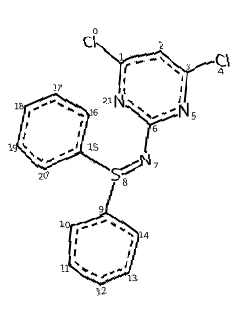 Clc1cc(Cl)nc(N=S(c2ccccc2)c2ccccc2)n1